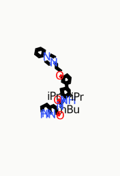 CCCCN(C(=O)Nc1c(C(C)C)cc(-c2cccc(OCCCN3CCN(c4ccccc4)CC3)c2)cc1C(C)C)c1cc2cccnc2[nH]c1=O